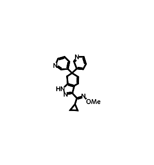 CON=C(c1n[nH]c2c1C=CC(c1cccnc1)(c1cccnc1)C2)C1CC1